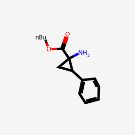 CCCCOC(=O)C1(N)CC1c1ccccc1